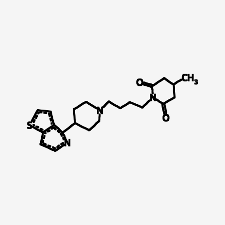 CC1CC(=O)N(CCCCN2CCC(c3nccc4sccc34)CC2)C(=O)C1